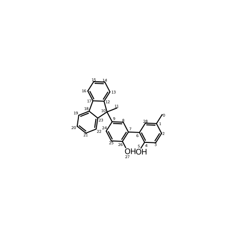 Cc1ccc(O)c(-c2cc(C3(C)c4ccccc4-c4ccccc43)ccc2O)c1